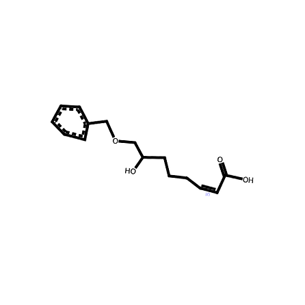 O=C(O)/C=C\CCCC(O)COCc1ccccc1